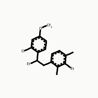 CCc1c(C)ccc(CC(CC)c2ccc(OC(F)(F)F)cc2Cl)c1C